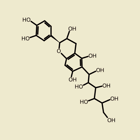 OCC(O)C(O)C(O)C(O)C(O)c1c(O)cc2c(c1O)CC(O)[C@H](c1ccc(O)c(O)c1)O2